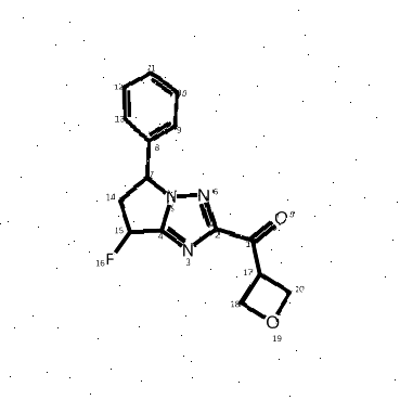 O=C(c1nc2n(n1)C(c1ccccc1)CC2F)C1COC1